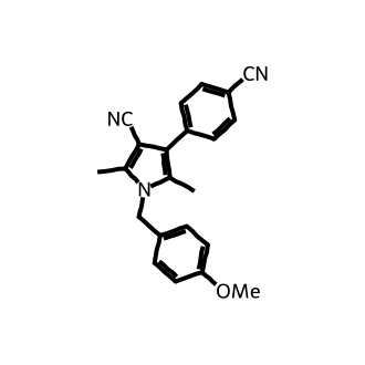 COc1ccc(Cn2c(C)c(C#N)c(-c3ccc(C#N)cc3)c2C)cc1